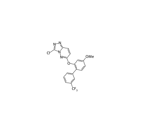 COc1ccc(-c2cccc(C(F)(F)F)c2)c(Oc2ccc3nnc(Cl)n3n2)c1